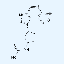 O=C(O)NC1CCC(n2cnc3cnc4[nH]ccc4c32)C1